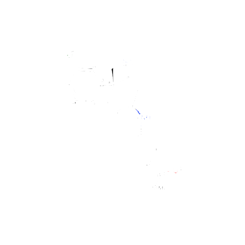 COC(=O)CCCN[C@H]1CC[C@](CN)(C2C=C(Cl)C=CC2)CC1